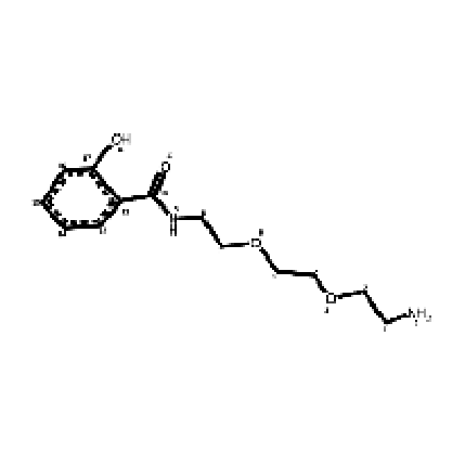 NCCOCCOCCNC(=O)c1ccccc1O